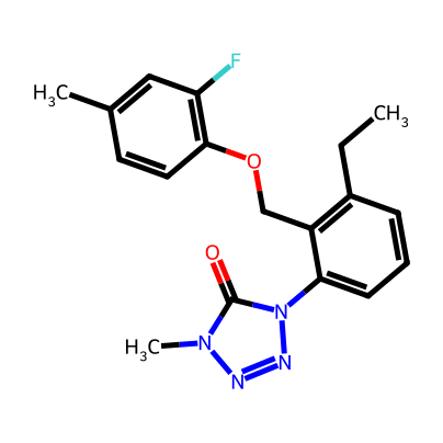 CCc1cccc(-n2nnn(C)c2=O)c1COc1ccc(C)cc1F